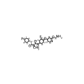 CN(C(=O)Cc1ccc(F)cc1)C(=O)Nc1ccc(Oc2ccnc(OCN)c2)c(F)c1